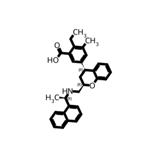 CCc1c(C)cc([C@H]2C[C@H](CN[C@H](C)c3cccc4ccccc34)Oc3ccccc32)cc1C(=O)O